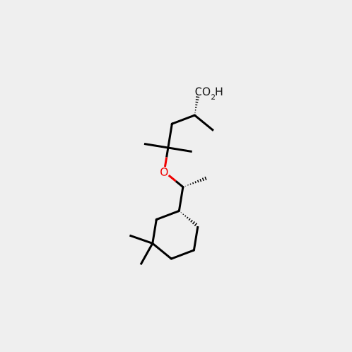 C[C@H](CC(C)(C)O[C@H](C)[C@@H]1CCCC(C)(C)C1)C(=O)O